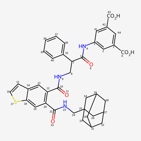 O=C(O)c1cc(NC(=O)C(CNC(=O)c2cc3ccsc3cc2C(=O)NCC23CC4CC(CC(C4)C2)C3)c2ccccc2)cc(C(=O)O)c1